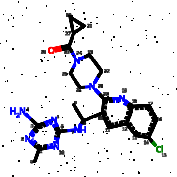 Cc1nc(N)nc(NC(C)c2cc3cc(Cl)ccc3nc2N2CCN(C(=O)C3CC3)CC2)n1